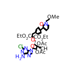 C#C[C@@]1(OC(C)=O)[C@@H](COC(Cc2ccc(-c3cccn(CCOC)c3=O)cc2)(C(=O)OCC)C(=O)OCC)O[C@@H](n2cnc3c(N)nc(Cl)nc32)[C@@H]1OC(C)=O